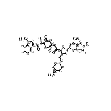 C[C@@H]1CN([C@H]2C[C@@H](CO[C@H]3CC[C@H](C)CC3)N(C(=O)Cc3cc(Cl)c(NC(=O)c4cn(C)c5ccccc45)cc3F)C2)C[C@H](C)N1CCF